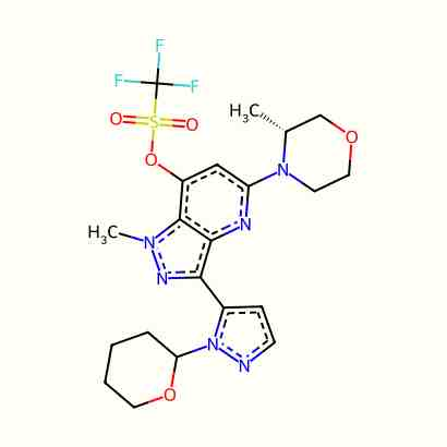 C[C@@H]1COCCN1c1cc(OS(=O)(=O)C(F)(F)F)c2c(n1)c(-c1ccnn1C1CCCCO1)nn2C